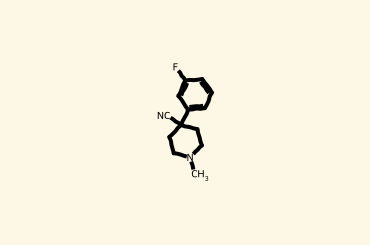 CN1CCC(C#N)(c2cccc(F)c2)CC1